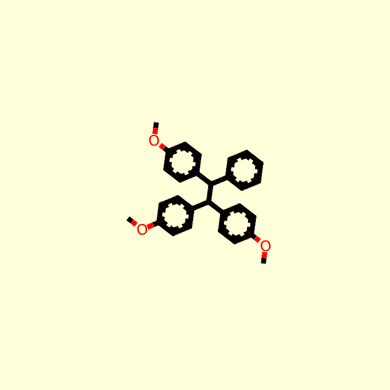 COc1ccc(C(c2ccccc2)C(c2ccc(OC)cc2)c2ccc(OC)cc2)cc1